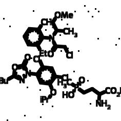 CC(C)Oc1cc(-n2nc(C(C)(C)C)oc2=O)c(Cl)cc1Cl.CCc1cccc(C)c1N(C(=O)CCl)C(C)COC.CP(=O)(O)CCC(N)C(=O)O